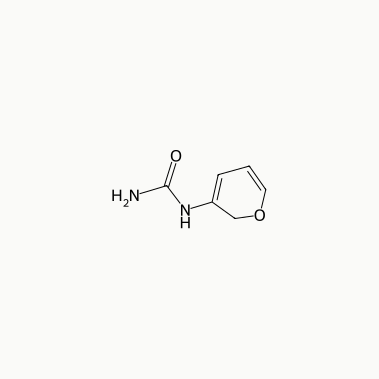 NC(=O)NC1=CC=COC1